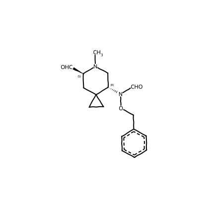 CN1C[C@H](N(C=O)OCc2ccccc2)C2(CC2)C[C@H]1C=O